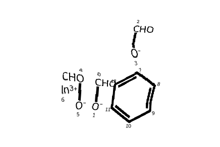 O=C[O-].O=C[O-].O=C[O-].[In+3].c1ccccc1